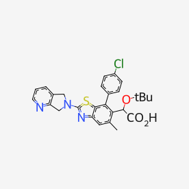 Cc1cc2nc(N3Cc4cccnc4C3)sc2c(-c2ccc(Cl)cc2)c1C(OC(C)(C)C)C(=O)O